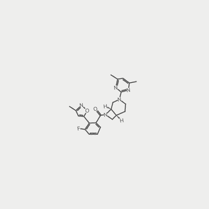 Cc1cc(-c2c(F)cccc2C(=O)N2C[C@H]3CCN(c4nc(C)cc(C)n4)C[C@H]32)on1